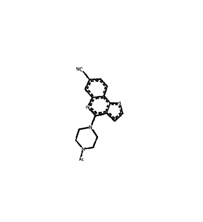 CC(=O)N1CCN(c2nc3cc(C#N)ccc3c3sccc23)CC1